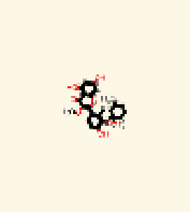 COc1c(-c2ccc(O)c(O)c2C[C@@H]2C(C)=CCCC2(C)C)oc2cc(O)cc(O)c2c1=O